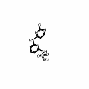 CC(C)(C)S(=O)(=O)Nc1cccc(Nc2ccnc(Cl)n2)n1